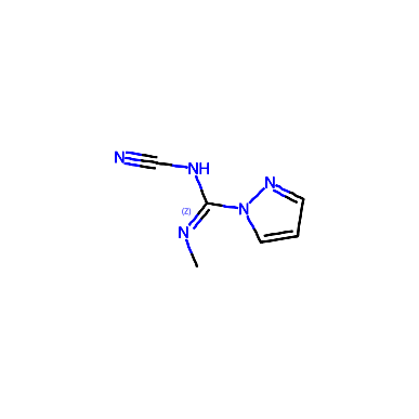 C/N=C(/NC#N)n1cccn1